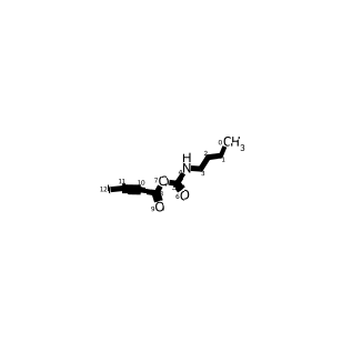 CCCCNC(=O)OC(=O)C#CI